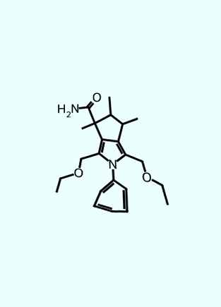 CCOCc1c2c(c(COCC)n1-c1ccccc1)C(C)(C(N)=O)C(C)C2C